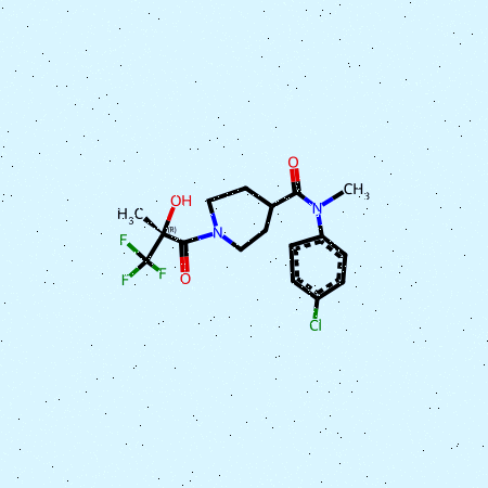 CN(C(=O)C1CCN(C(=O)[C@@](C)(O)C(F)(F)F)CC1)c1ccc(Cl)cc1